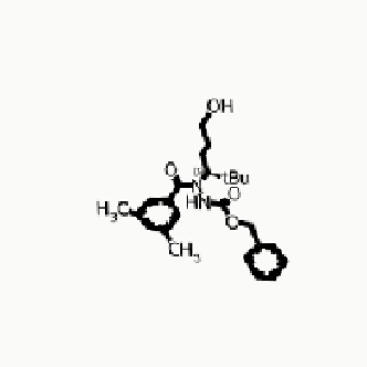 Cc1cc(C)cc(C(=O)N(NC(=O)OCc2ccccc2)[C@@H](CCCO)C(C)(C)C)c1